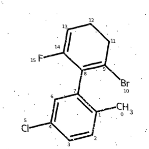 Cc1ccc(Cl)cc1C1=C(Br)CCC=C1F